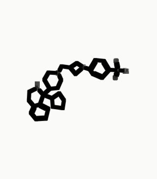 CCS(=O)(=O)c1ccc(N2CC(CN3CCC(C4(C5CCCC5)NCCc5ccccc54)CC3)C2)cc1